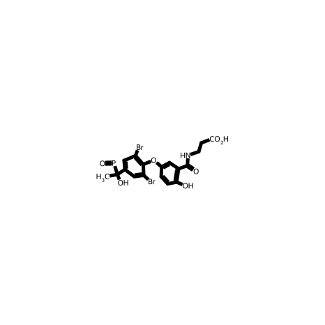 CC(O)(P=O)c1cc(Br)c(Oc2ccc(O)c(C(=O)NCCC(=O)O)c2)c(Br)c1